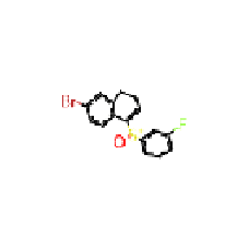 [O-][S+](C1=CCCc2cc(Br)ccc21)c1cccc(F)c1